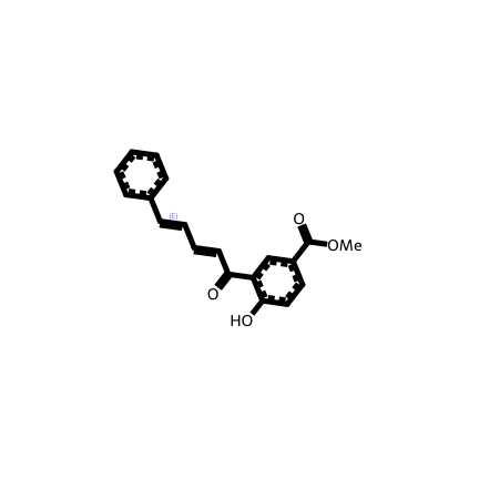 COC(=O)c1ccc(O)c(C(=O)C=C/C=C/c2ccccc2)c1